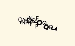 CC(=O)NC(C)c1cnc(OCc2c(F)cc(Oc3cccc(OCC4CC4)c3)cc2F)c(F)c1